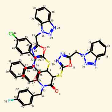 O=C(C(Sc1nnc(Cn2nnc3ccccc32)o1)C(Sc1nnc(Cn2nnc3ccccc32)o1)C(=O)N(Cc1ccc(Cl)cc1)c1ccccc1)N(Cc1ccc(F)cc1)c1ccccc1